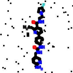 CC.Nc1ccc(CNC(=O)Nc2ccc(-c3ccc(C(=O)NCCN4CCC(F)C4)c([AsH2])n3)cc2)cn1